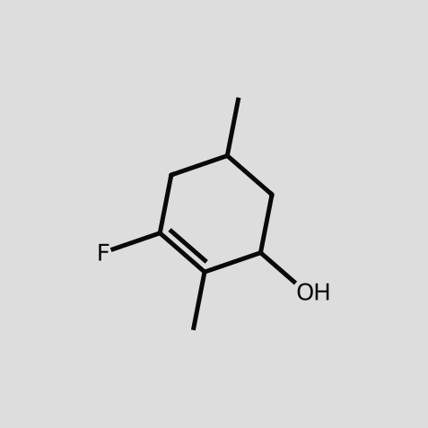 CC1=C(F)CC(C)CC1O